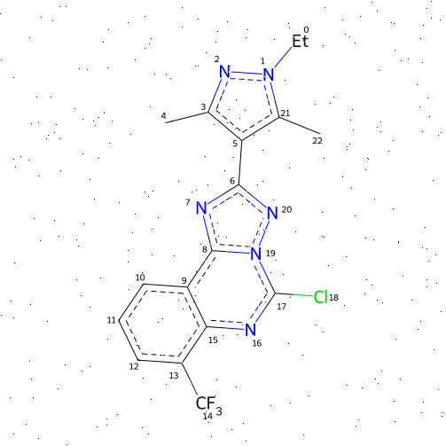 CCn1nc(C)c(-c2nc3c4cccc(C(F)(F)F)c4nc(Cl)n3n2)c1C